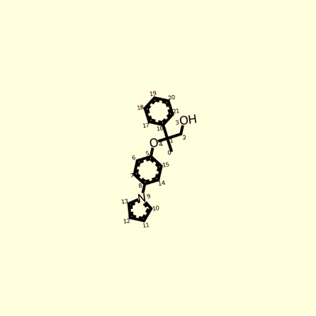 CC(CO)(Oc1ccc(-n2cccc2)cc1)c1ccccc1